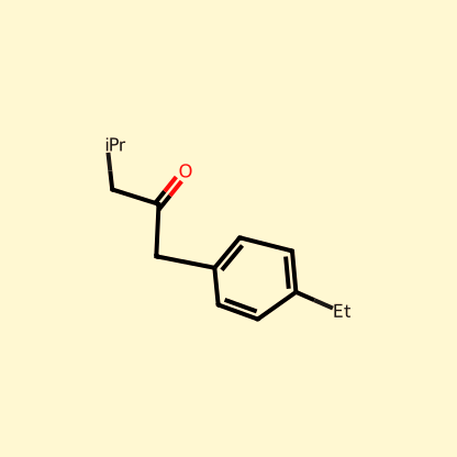 CCc1ccc(CC(=O)CC(C)C)cc1